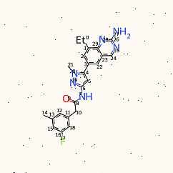 CCc1cc(-c2cc(NC(=O)Cc3cc(C)cc(F)c3)nn2C)cc2cnc(N)nc12